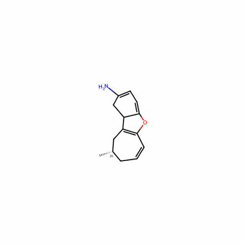 C[C@H]1CC=CC2=C(C1)C1CC(N)=CC=C1O2